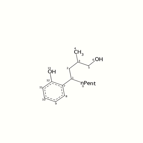 CCCCCC(CC(C)CO)c1ccccc1O